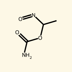 CC(N=O)OC(N)=O